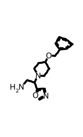 NCC(c1cnco1)N1CCC(OCc2ccccc2)CC1